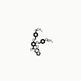 COc1ccc(COc2ccc(C(=O)N3CCN4CCCC4C3)c(Cl)c2OCc2ccc(OC)cc2)cc1